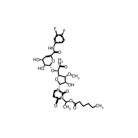 CCCCCC(=O)OC(C)n1c(=O)ccn([C@@H]2O[C@H]([C@@H](O[C@H]3OC(C(=O)Nc4ccc(F)c(F)c4)=C[C@H](O)[C@@H]3O)C(N)=O)[C@@H](OC)[C@H]2O)c1=O